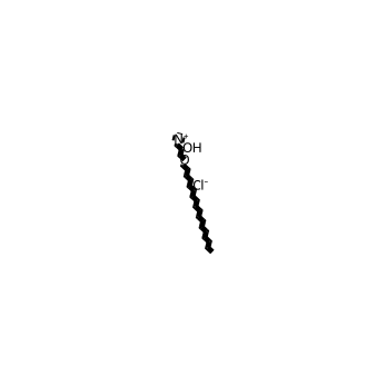 CCCCCCCCCCCCCCCCCCOCC(O)C[N+](C)(C)C.[Cl-]